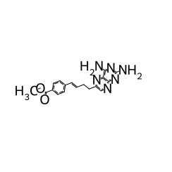 COC(=O)c1ccc(C=CCCc2cnc3nc(N)nc(N)c3n2)cc1